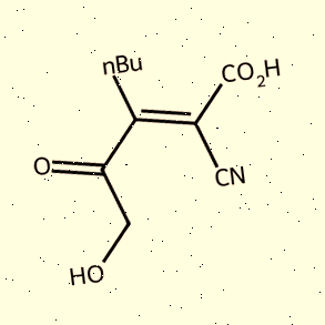 CCCCC(C(=O)CO)=C(C#N)C(=O)O